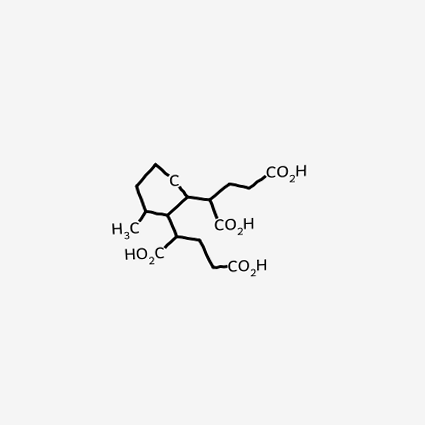 CC1CCCC(C(CCC(=O)O)C(=O)O)C1C(CCC(=O)O)C(=O)O